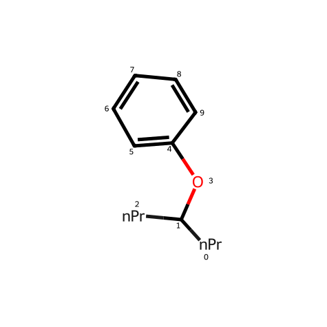 C[CH]CC(CCC)Oc1ccccc1